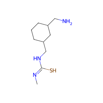 C/N=C(\S)NCC1CCCC(CN)C1